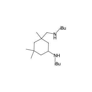 CCC(C)NCC1(C)CC(NC(C)CC)CC(C)(C)C1